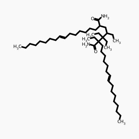 CCCCCCCCC=CCCCCCCC(CC(CC)C(CC)(CC)C(CC)(CCCCCCC=CCCCCCCCC)C(N)=O)C(N)=O